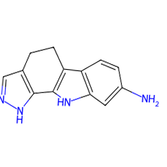 Nc1ccc2c3c([nH]c2c1)-c1[nH]ncc1CC3